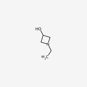 [CH2]CN1CC(O)C1